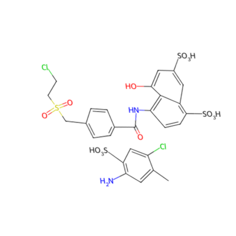 Cc1cc(N)c(S(=O)(=O)O)cc1Cl.O=C(Nc1ccc(S(=O)(=O)O)c2cc(S(=O)(=O)O)cc(O)c12)c1ccc(CS(=O)(=O)CCCl)cc1